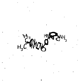 CC(C)c1cnc(N2CCN(C(=O)c3ccc(-c4nc5c(C(N)=O)cccc5[nH]4)cc3)CC2)nc1